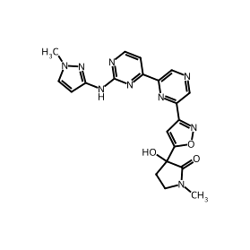 CN1CCC(O)(c2cc(-c3cncc(-c4ccnc(Nc5ccn(C)n5)n4)n3)no2)C1=O